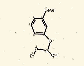 CCOB(O)Oc1cccc(OC)c1